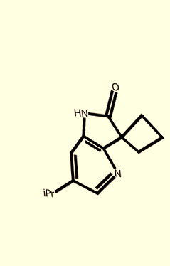 CC(C)c1cnc2c(c1)NC(=O)C21CCC1